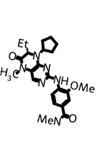 CC[C@@H]1C(=O)N(C)c2cnc(Nc3ccc(C(=O)NC)cc3OC)nc2N1C1CCCC1